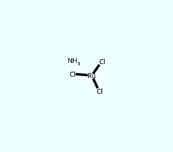 N.[Cl][Ru]([Cl])[Cl]